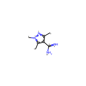 Cc1nn(C)c(C)c1C(=N)N